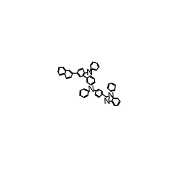 c1ccc(N(c2ccc(-c3nc4ccccc4n3-c3ccccc3)cc2)c2ccc3c(c2)c2cc(-c4ccc5ccccc5c4)ccc2n3-c2ccccc2)cc1